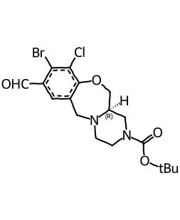 CC(C)(C)OC(=O)N1CCN2Cc3cc(C=O)c(Br)c(Cl)c3OC[C@H]2C1